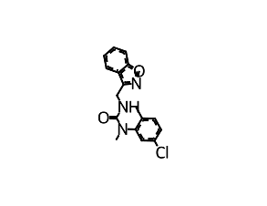 Cc1ccc(Cl)cc1N(C)C(=O)NCc1noc2ccccc12